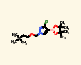 CC1(C)OB(c2cn(COCC[Si](C)(C)C)nc2Cl)OC1(C)C